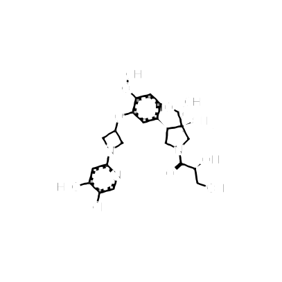 COc1ccc([C@@H]2CN(C(=O)[C@@H](O)CO)C[C@@]2(C)[C@@H](C)O)cc1OC1CN(c2cc(C)c(Cl)cn2)C1